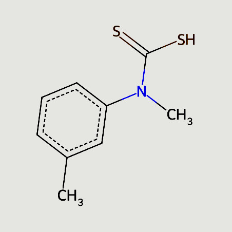 Cc1cccc(N(C)C(=S)S)c1